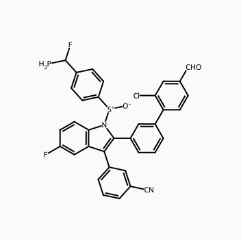 N#Cc1cccc(-c2c(-c3cccc(-c4ccc(C=O)cc4Cl)c3)n([S+]([O-])c3ccc(C(F)P)cc3)c3ccc(F)cc23)c1